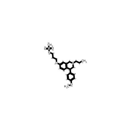 CCCN1Cc2cc(OCCCOS(C)(=O)=O)ccc2C(c2ccc(OC)cc2)C1